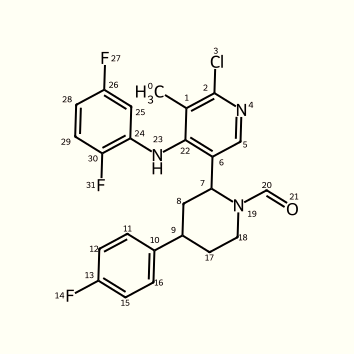 Cc1c(Cl)ncc(C2CC(c3ccc(F)cc3)CCN2C=O)c1Nc1cc(F)ccc1F